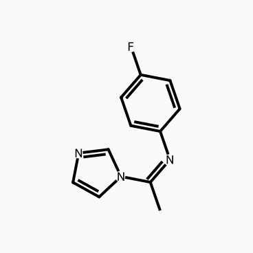 CC(=Nc1ccc(F)cc1)n1ccnc1